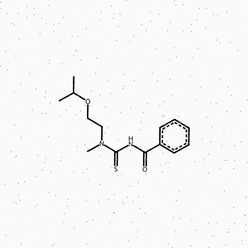 CC(C)OCCN(C)C(=S)NC(=O)c1ccccc1